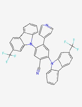 N#Cc1cc(-n2c3ccccc3c3ccc(C(F)(F)F)cc32)c(-c2ccncc2)cc1-n1c2ccccc2c2ccc(C(F)(F)F)cc21